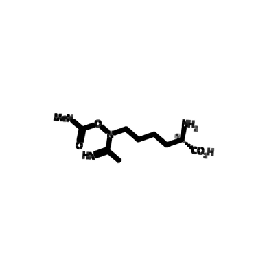 CNC(=O)ON(CCCC[C@H](N)C(=O)O)C(C)=N